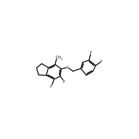 [CH2]c1c2c(c(F)c(F)c1SCc1ccc(F)c(F)c1)CCC2